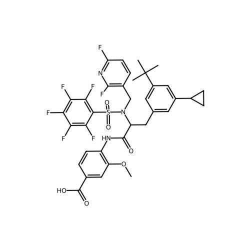 COc1cc(C(=O)O)ccc1NC(=O)C(Cc1cc(C2CC2)cc(C(C)(C)C)c1)N(Cc1ccc(F)nc1F)S(=O)(=O)c1c(F)c(F)c(F)c(F)c1F